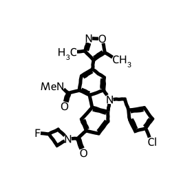 CNC(=O)c1cc(-c2c(C)noc2C)cc2c1c1cc(C(=O)N3CC(F)C3)ccc1n2Cc1ccc(Cl)cc1